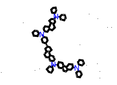 c1ccc(N(c2ccccc2)c2ccc3c(ccc4cc(N(c5ccccc5)c5ccc(-c6ccc7c(ccc8cc(N(c9ccccc9)c9ccc%10c(ccc%11cc(N(c%12ccccc%12)c%12ccccc%12)ccc%11%10)c9)ccc87)c6)cc5)ccc43)c2)cc1